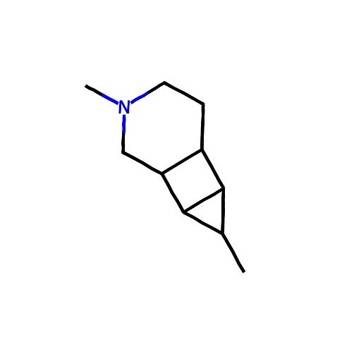 CC1C2C3CCN(C)CC3C12